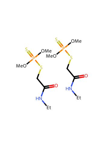 CCNC(=O)CSP(=S)(OC)OC.CCNC(=O)CSP(=S)(OC)OC